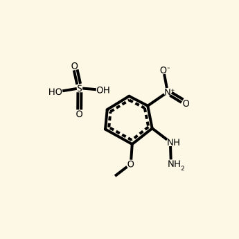 COc1cccc([N+](=O)[O-])c1NN.O=S(=O)(O)O